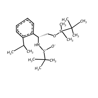 CC(C)c1ccccc1[C@H](CO[Si](C)(C)C(C)(C)C)N[S+]([O-])C(C)(C)C